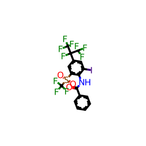 O=C(Nc1c(I)cc(C(F)(C(F)(F)F)C(F)(F)F)cc1S(=O)(=O)C(F)(F)F)c1ccccc1